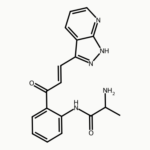 CC(N)C(=O)Nc1ccccc1C(=O)/C=C/c1n[nH]c2ncccc12